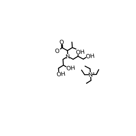 CC(C)C(C(=O)[O-])N(CC(O)CO)CC(O)CO.CC[N+](CC)(CC)CC